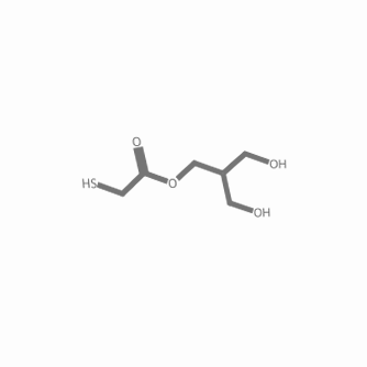 O=C(CS)OCC(CO)CO